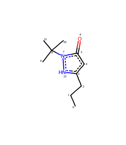 CCCc1cc(=O)n(C(C)(C)C)[nH]1